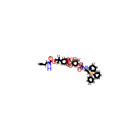 C#CCCNC(=O)OCC(C)(C)C1CCC2(CC1)OOC1(CCC(OC(=O)NCCC[P+](c3ccccc3)(c3ccccc3)c3ccccc3)CC1)OO2.[Br-]